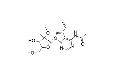 C=Cc1cn([C@@H]2OC(CO)C(O)C2(C)OC)c2ncnc(NC(C)=O)c12